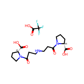 O=C(O)C(F)(F)F.O=C(O)[C@H]1CCCN1C(=O)CCNCCC(=O)N1CCC[C@@H]1C(=O)O